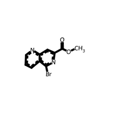 COC(=O)c1cc2ncccc2c(Br)n1